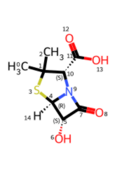 CC1(C)S[C@@H]2[C@@H](O)C(=O)N2[C@H]1C(=O)O